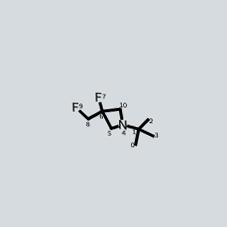 CC(C)(C)N1CC(F)(CF)C1